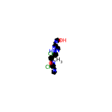 Cc1c(-c2nc3cc(CN4CCCC4)cc(Cl)c3o2)cccc1-c1cccc(Nc2nccc3cc(CN4CCC(O)C4)cnc23)c1Cl